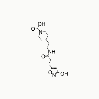 O=C(CCc1cc(O)no1)NCCC1CCN(C(=O)O)CC1